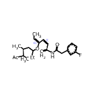 C=C(/C=C\C(=C/C)OC(CC)CC(C)C(C)C(C)=O)NC(=O)Cc1cccc(F)c1